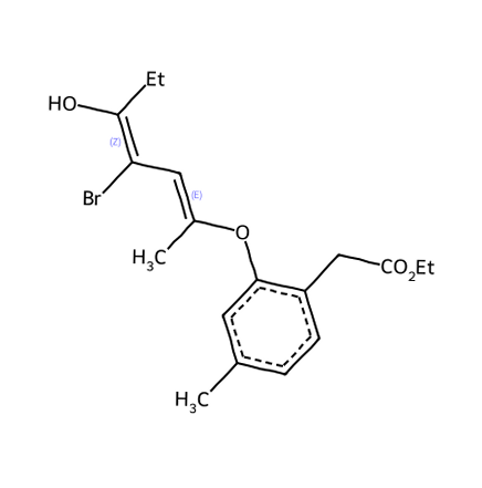 CCOC(=O)Cc1ccc(C)cc1O/C(C)=C/C(Br)=C(/O)CC